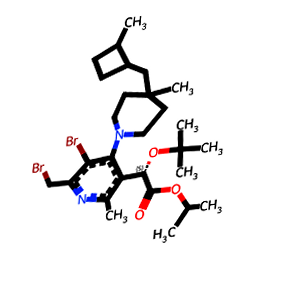 Cc1nc(CBr)c(Br)c(N2CCC(C)(CC3CCC3C)CC2)c1[C@H](OC(C)(C)C)C(=O)OC(C)C